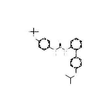 CC(C)Sc1ccc(-c2ccccc2NC(=O)Nc2ccc(OC(F)(F)F)cc2)cc1